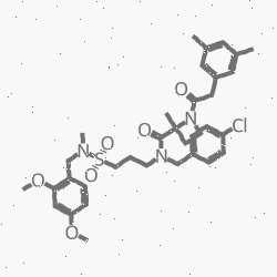 COc1ccc(CN(C)S(=O)(=O)CCCN(Cc2ccc(Cl)cc2)C(=O)C2(C)CCN2C(=O)Cc2cc(C)cc(C)c2)c(OC)c1